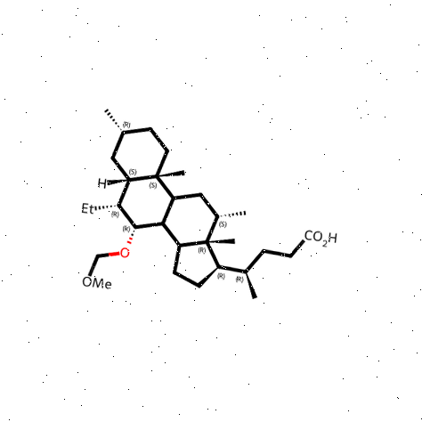 CC[C@H]1[C@@H](OCOC)C2C3CC[C@H]([C@H](C)CCC(=O)O)[C@@]3(C)[C@@H](C)CC2[C@@]2(C)CC[C@@H](C)C[C@@H]12